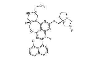 CC[C@@H]1CN2c3nc(OC[C@@]45CCCN4C[C@H](F)C5)nc4c(F)c(-c5cccc6cccc(Cl)c56)nc(c34)OC[C@@H]2CN1